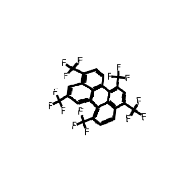 FC(F)(F)c1cc2c(C(F)(F)F)ccc3c4c(C(F)(F)F)cc(C(F)(F)F)c5ccc(C(F)(F)F)c(c(c1)c23)c54